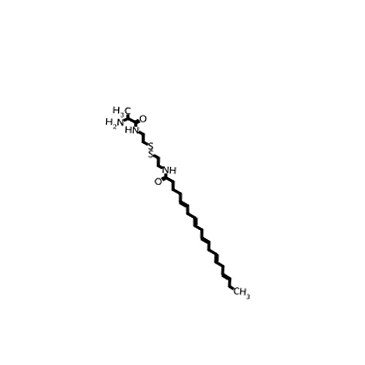 CCC=CCC=CCC=CCC=CCC=CCCCC(=O)NCCSSCCNC(=O)C(C)N